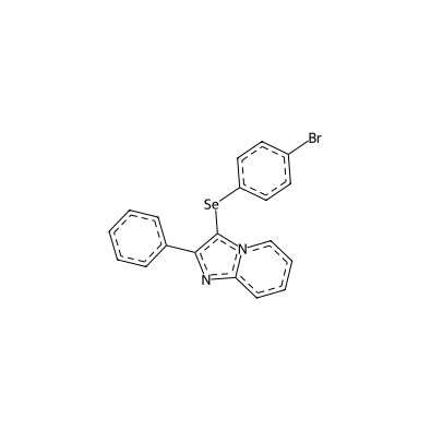 Brc1ccc([Se]c2c(-c3ccccc3)nc3ccccn23)cc1